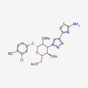 COC1C(n2cc(-c3csc(N)n3)nn2)[C@@H](OC(C)=O)C(COC(C)=O)O[C@@H]1Sc1ccc(C#N)c(Cl)c1